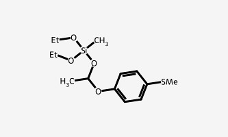 CCO[Si](C)(OCC)OC(C)Oc1ccc(SC)cc1